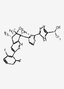 CC[C@H]1c2cc(-c3c(F)cccc3F)nnc2[C@](C)(c2ccnc(-c3nnc([C@H](C)O)[nH]3)n2)C1(C)C